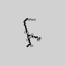 C=CCC(CC)CCCC(=O)OCC(COC(=O)CCCCCCC/C=C\C/C=C\CCCCC)COC(=O)OCCCN(CC)CC